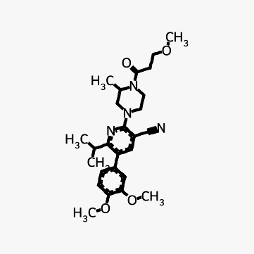 COCCC(=O)N1CCN(c2nc(C(C)C)c(-c3ccc(OC)c(OC)c3)cc2C#N)CC1C